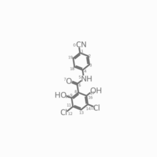 N#Cc1ccc(NC(=O)c2c(O)c(Cl)cc(Cl)c2O)cc1